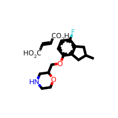 CC1Cc2c(F)ccc(OCC3CNCCO3)c2C1.O=C(O)C=CC(=O)O